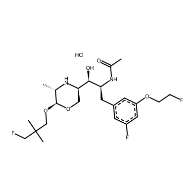 CC(=O)N[C@@H](Cc1cc(F)cc(OCCF)c1)[C@H](O)[C@H]1CO[C@@H](OCC(C)(C)CF)[C@H](C)N1.Cl